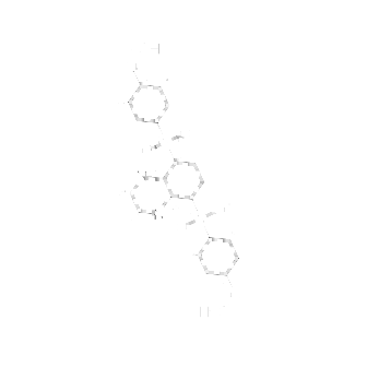 COc1ccc(S(=O)(=O)c2ccc(S(=O)(=O)c3ccc(OC)cc3)c3nccnc23)cc1